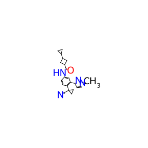 Cn1ccc(-c2cc(NC(=O)C3CC(C4CC4)C3)ccc2C2(C#N)CC2)n1